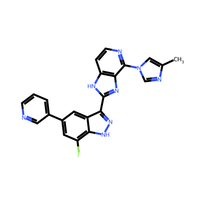 Cc1cn(-c2nccc3[nH]c(-c4n[nH]c5c(F)cc(-c6cccnc6)cc45)nc23)cn1